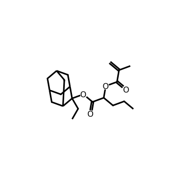 C=C(C)C(=O)OC(CCC)C(=O)OC1(CC)C2CC3CC(C2)CC1C3